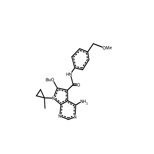 COCc1ccc(NC(=O)c2c(OCC(C)C)n(C3(C)CC3)c3ncnc(N)c23)cc1